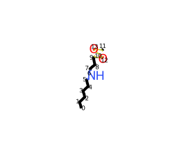 CCCCCCNCCCS(C)(=O)=O